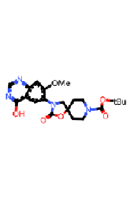 COc1cc2ncnc(O)c2cc1N1CC2(CCN(C(=O)OC(C)(C)C)CC2)OC1=O